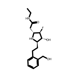 CCNC(=O)C[C@H]1N[C@H](CCc2ccccc2CO)[C@@H](O)[C@@H]1F